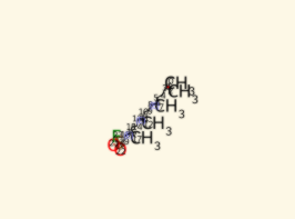 CC(C)=CCC/C(C)=C/CC/C(C)=C/CC/C(C)=C/CS(=O)(=O)F